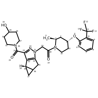 C[C@H]1C[C@H](Oc2ncccc2C(F)(F)F)CCN1C(=O)Cn1nc(C(=O)N2CCC(O)CC2)c2c1CC1C[C@H]21